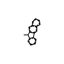 CC1c2ccccc2-c2cc3ccccc3cc21